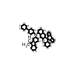 CC1(C)c2ccccc2-c2ccc(N(c3ccc(-c4ccccc4)cc3)c3cccc4cc5c(cc34)Sc3ccccc3C53c4ccccc4-c4ccccc43)cc21